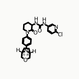 O=C(Nc1ccc(Cl)nc1)NC1CCCN(c2ccc(N3[C@@H]4CC[C@H]3COC4)cc2)C1=O